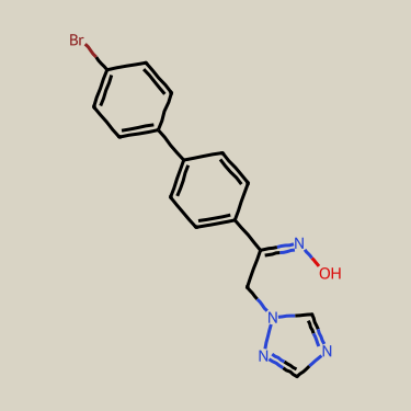 ON=C(Cn1cncn1)c1ccc(-c2ccc(Br)cc2)cc1